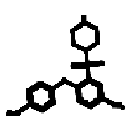 COc1ccc(Oc2ccc([N+](=O)[O-])cc2S(=O)(=O)N2CCNCC2)cc1